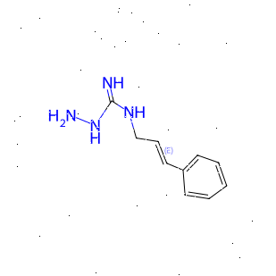 N=C(NN)NC/C=C/c1ccccc1